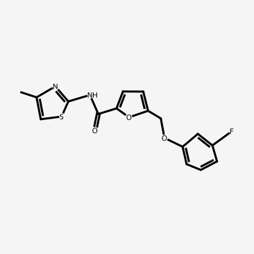 Cc1csc(NC(=O)c2ccc(COc3cccc(F)c3)o2)n1